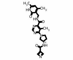 Cc1cc(C)c(CNC(=O)c2ncnc(N3CC[C@H](NC(=O)C4=CN=C4)C3)c2C)c(=O)[nH]1